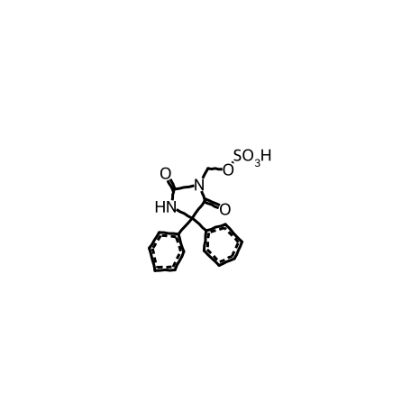 O=C1NC(c2ccccc2)(c2ccccc2)C(=O)N1COS(=O)(=O)O